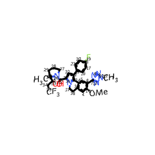 COc1cc2c(cc1-c1nnn(C)n1)-c1c(-c3ccc(F)cc3)cc(C(=O)N3CCC[C@@]3(C)[C@@H](O)CC(F)(F)F)n1CC2